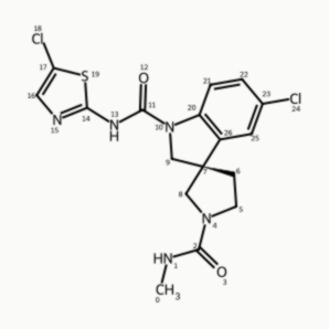 CNC(=O)N1CC[C@@]2(C1)CN(C(=O)Nc1ncc(Cl)s1)c1ccc(Cl)cc12